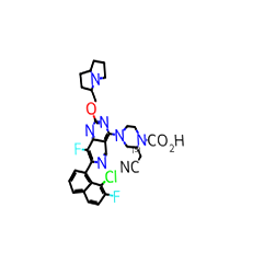 N#CC[C@H]1CN(c2nc(OCC3CCC4CCCN43)nc3c(F)c(-c4cccc5ccc(F)c(Cl)c45)ncc23)CCN1C(=O)O